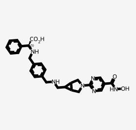 O=C(NO)c1cnc(N2CC3C(CNCc4ccc(CN[C@H](C(=O)O)c5ccccc5)cc4)C3C2)nc1